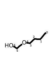 [CH2]CCCOCO